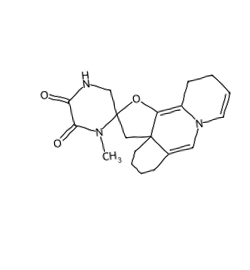 CN1C(=O)C(=O)NCC12CC13CCCCC1=CN1C=CCCC1=C3O2